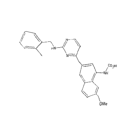 COc1ccc2cc(-c3ccnc(NCc4ccccc4C)n3)cc(NC(=O)O)c2c1